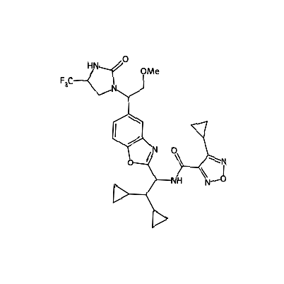 COCC(c1ccc2oc(C(NC(=O)c3nonc3C3CC3)C(C3CC3)C3CC3)nc2c1)N1CC(C(F)(F)F)NC1=O